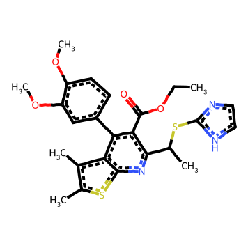 CCOC(=O)c1c(C(C)Sc2ncc[nH]2)nc2sc(C)c(C)c2c1-c1ccc(OC)c(OC)c1